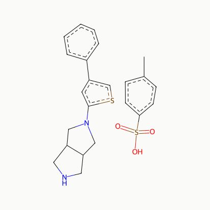 Cc1ccc(S(=O)(=O)O)cc1.c1ccc(-c2csc(N3CC4CNCC4C3)c2)cc1